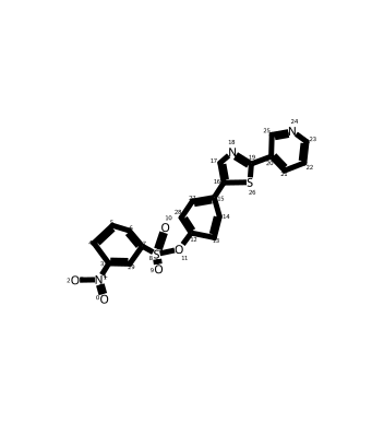 O=[N+]([O-])c1cccc(S(=O)(=O)Oc2ccc(-c3cnc(-c4cccnc4)s3)cc2)c1